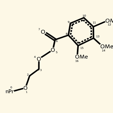 CCCOC[CH]OOC(=O)c1ccc(OC)c(OC)c1OC